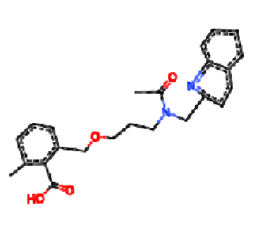 CC(=O)N(CCCOCc1cccc(C)c1C(=O)O)Cc1ccc2ccccc2n1